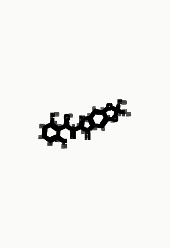 O=C(Nc1nc2cc3c(cc2[nH]1)OC(F)(F)O3)c1c(F)cccc1F